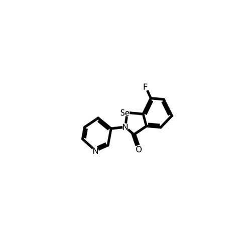 O=c1c2cccc(F)c2[se]n1-c1cccnc1